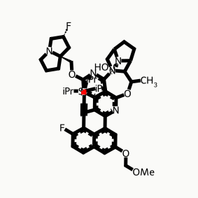 COCOc1cc(-c2nc3c4c(nc(OC[C@@]56CCCN5C[C@H](F)C6)nc4c2F)N2CC4CCC(C2C(C)O3)N4C(=O)O)c2c(C#C[Si](C(C)C)(C(C)C)C(C)C)c(F)ccc2c1